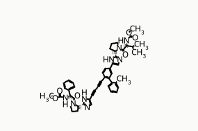 COC(=O)N[C@H](C(=O)N1CCC[C@H]1c1ncc(-c2ccc(C#CC#Cc3cnc([C@@H]4CCCN4C(=O)[C@H](NC(=O)OC)c4ccccc4)[nH]3)c(-c3ccccc3C)c2)[nH]1)C(C)C